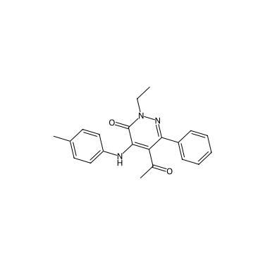 CCn1nc(-c2ccccc2)c(C(C)=O)c(Nc2ccc(C)cc2)c1=O